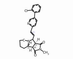 CN1C(=O)[C@@H]2[C@H](C1=O)C(/C=C/c1ccc(-c3ccccc3Cl)cn1)N1CCCC[C@@H]21